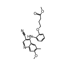 COC(=O)CCCOc1ccccc1Nc1c(C#N)cnc2cc(OC)c(C)cc12